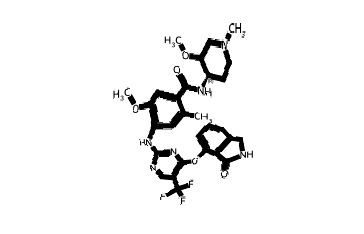 COc1cc(C(=O)N[C@@H]2CCN(C)CC2OC)c(C)cc1Nc1ncc(C(F)(F)F)c(Oc2cccc3c2C(=O)NC3)n1